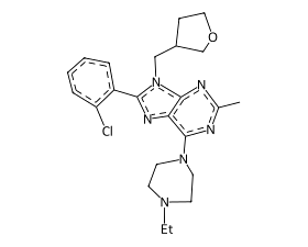 CCN1CCN(c2nc(C)nc3c2nc(-c2ccccc2Cl)n3CC2CCOC2)CC1